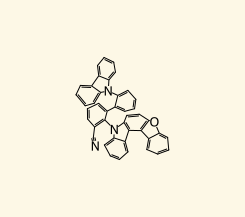 N#Cc1cccc(-c2ccccc2-n2c3ccccc3c3ccccc32)c1-n1c2ccccc2c2c3c(ccc21)oc1ccccc13